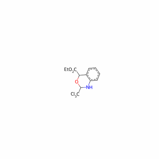 CCOC(=O)C1OC(C(Cl)(Cl)Cl)Nc2ccccc21